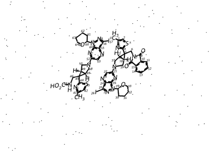 Cc1csc(C2(CN3C(=O)c4ccccc4C3=O)[C@@H]3CN(c4cnc5c(I)nn(C6CCCCO6)c5n4)C[C@@H]32)n1.Cc1csc(C2(CNC(=O)O)[C@@H]3CN(c4cnc5c(I)nn(C6CCCCO6)c5n4)C[C@@H]32)n1